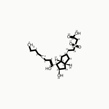 CCCCCCC=C(O)[C@@H]1[C@@H]2C[C@H](CCS(=O)(=O)CC(=O)O)C[C@@H]2C[C@H]1O